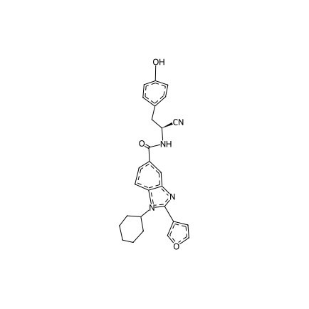 N#C[C@H](Cc1ccc(O)cc1)NC(=O)c1ccc2c(c1)nc(-c1ccoc1)n2C1CCCCC1